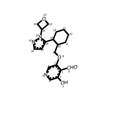 O=Cc1c(O)cncc1OCC1CCCCC1c1ccnn1C1COC1